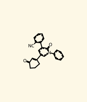 N#Cc1ccccc1-c1cc(C2=CC(=O)CCC2)cn(-c2ccccc2)c1=O